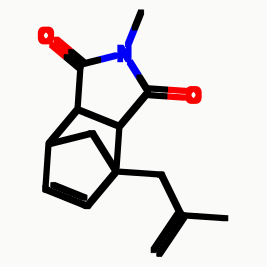 C=C(C)CC12C=CC(C1)C1C(=O)N(C)C(=O)C12